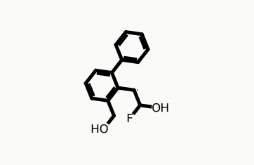 OCc1cccc(-c2ccccc2)c1[CH]C(O)F